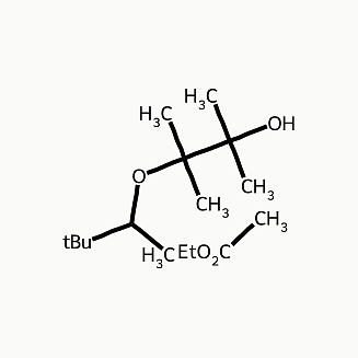 CC(OC(C)(C)C(C)(C)O)C(C)(C)C.CCOC(C)=O